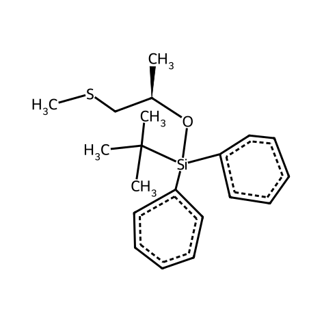 CSC[C@@H](C)O[Si](c1ccccc1)(c1ccccc1)C(C)(C)C